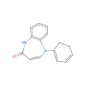 O=C1C=CN(C2=CC=CCC2)c2ccccc2N1